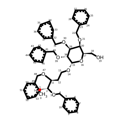 CC[C@@H](OCc1ccccc1)[C@H](CCO[C@H]1O[C@H](CO)[C@H](OCc2ccccc2)[C@H](OCc2ccccc2)[C@H]1OCc1ccccc1)OCc1ccccc1